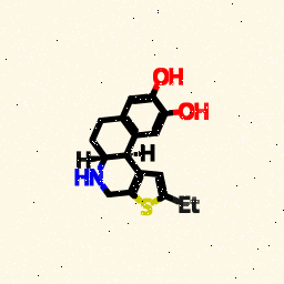 CCc1cc2c(s1)CN[C@@H]1CCc3cc(O)c(O)cc3[C@@H]21